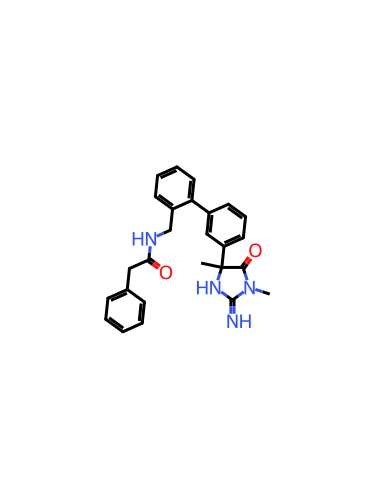 CN1C(=N)NC(C)(c2cccc(-c3ccccc3CNC(=O)Cc3ccccc3)c2)C1=O